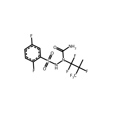 CC(F)(C(F)(F)F)C(F)(F)N(NS(=O)(=O)c1cc(F)ccc1F)C(N)=O